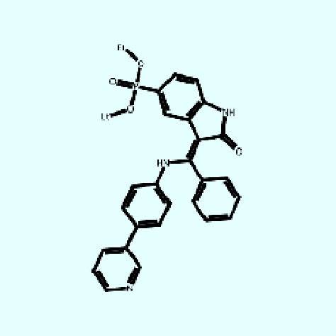 CCOP(=O)(OCC)c1ccc2c(c1)C(=C(Nc1ccc(-c3cccnc3)cc1)c1ccccc1)C(=O)N2